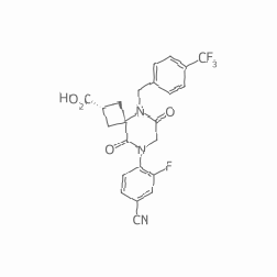 N#Cc1ccc(N2CC(=O)N(Cc3ccc(C(F)(F)F)cc3)[C@]3(C[C@@H](C(=O)O)C3)C2=O)c(F)c1